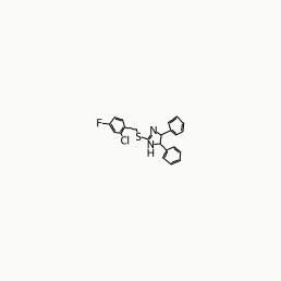 Fc1ccc(CSC2=NC(c3ccccc3)C(c3ccccc3)N2)c(Cl)c1